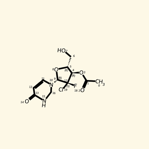 CC(=O)O[C@@H]1[C@@H](CO)O[C@@H](N2C=CC(=O)NC2)[C@@]1(F)Cl